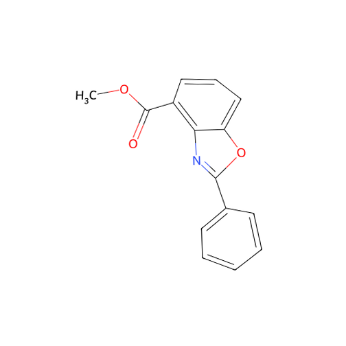 COC(=O)c1cccc2oc(-c3ccccc3)nc12